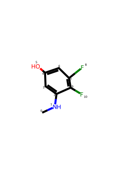 CNc1cc(O)cc(F)c1F